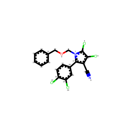 N#Cc1c(Cl)c(Cl)n(COCc2ccccc2)c1-c1ccc(Cl)c(Cl)c1